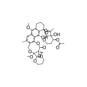 COc1c2c(c(O)c3c4c(c(C)cc13)COC(OC)(C1OCCCO1)[C@]1(CO1)[C@H](O[C@H]1C[C@H](OC(C)=O)C(O)(C(C)=O)C(C)O1)O4)C(=O)CCC2